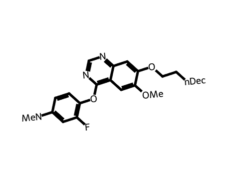 CCCCCCCCCCCCOc1cc2ncnc(Oc3ccc(NC)cc3F)c2cc1OC